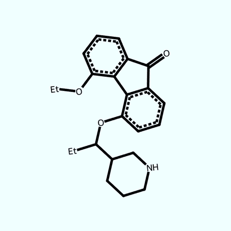 CCOc1cccc2c1-c1c(OC(CC)C3CCCNC3)cccc1C2=O